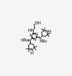 CCCCN(c1nc(NCCO)nc(N(CCCC)C2CC(C)(C)NC(C)(C)C2)n1)C1CC(C)(C)NC(C)(C)C1